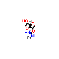 CCNC(=N)O[C@@H]1CO[C@H]2[C@@H]1OC[C@H]2O